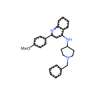 COc1ccc(-c2cc(NC3CCN(Cc4ccccc4)CC3)c3ccccc3n2)cc1